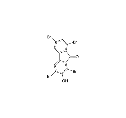 O=C1c2c(Br)cc(Br)cc2-c2cc(Br)c(O)c(Br)c21